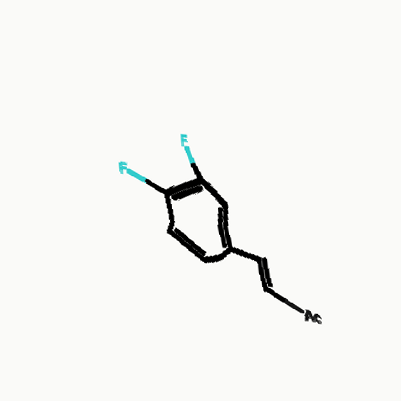 CC(=O)C=Cc1ccc(F)c(F)c1